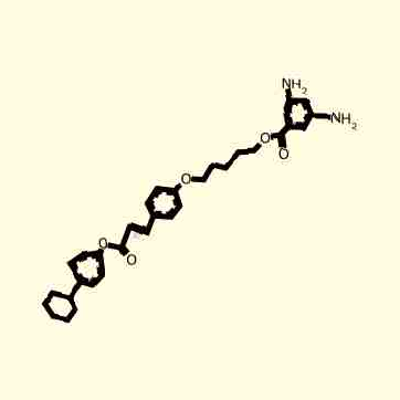 Nc1cc(N)cc(C(=O)OCCCCCOc2ccc(/C=C/C(=O)Oc3ccc(C4CCCCC4)cc3)cc2)c1